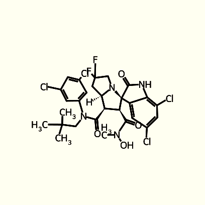 CN(O)C(=O)[C@H]1[C@@H](C(=O)N(CC(C)(C)C)c2cc(Cl)cc(Cl)c2)[C@H]2CC(F)(F)CN2[C@]12C(=O)Nc1c(Cl)cc(Cl)cc12